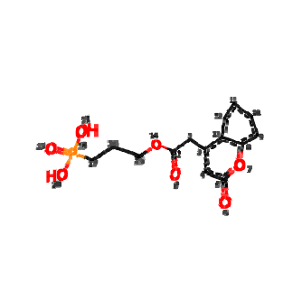 O=C(Cc1cc(=O)oc2ccccc12)OCCCP(=O)(O)O